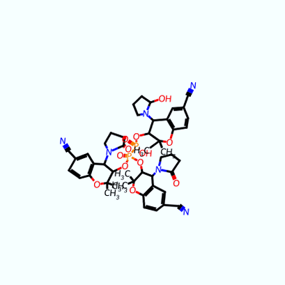 CC1(C)Oc2ccc(C#N)cc2C(N2CCCC2=O)C1OP(=O)(OC1C(N2CCCC2=O)c2cc(C#N)ccc2OC1(C)C)P(=O)(O)OC1C(N2CCCC2O)c2cc(C#N)ccc2OC1(C)C